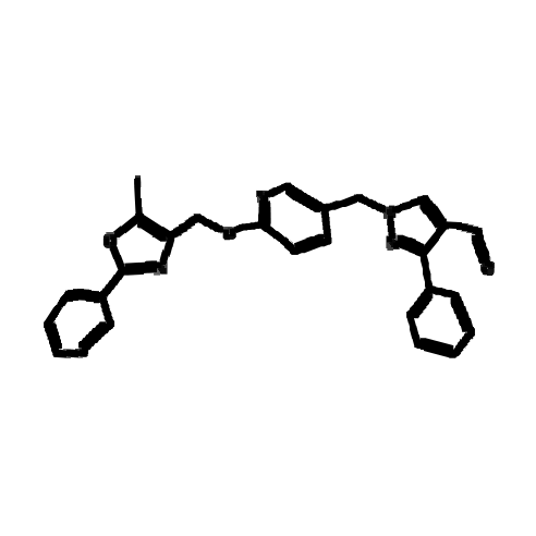 Cc1oc(-c2ccccc2)nc1COc1ccc(Cn2cc(C=O)c(-c3ccccc3)n2)cn1